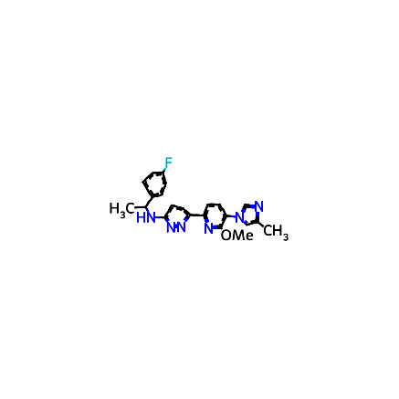 COc1nc(-c2ccc(NC(C)c3ccc(F)cc3)nn2)ccc1-n1cnc(C)c1